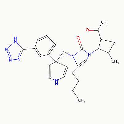 CCCCc1cn(C2C(C)CC2C(C)=O)c(=O)n1CC1(c2cccc(-c3nnn[nH]3)c2)C=CNC=C1